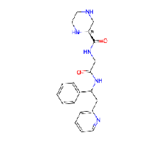 O=C(CNC(=O)[C@@H]1CNCCN1)NC(Cc1ccccn1)c1ccccc1